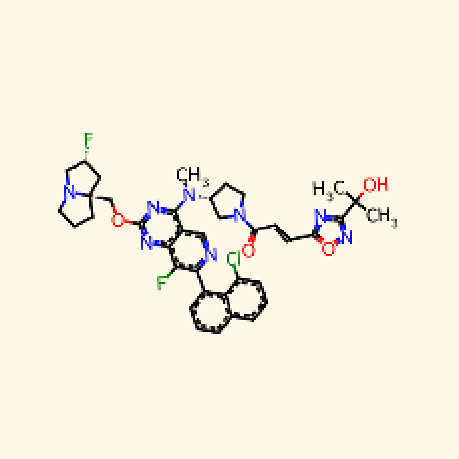 CN(c1nc(OC[C@@]23CCCN2C[C@H](F)C3)nc2c(F)c(-c3cccc4cccc(Cl)c34)ncc12)[C@@H]1CCN(C(=O)/C=C/c2nc(C(C)(C)O)no2)C1